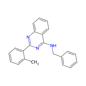 Cc1ccccc1-c1nc(NCc2ccccc2)c2ccccc2n1